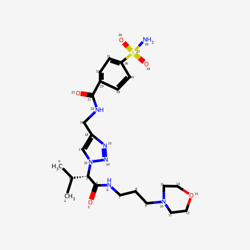 CC(C)[C@@H](C(=O)NCCCN1CCOCC1)n1cc(CNC(=O)c2ccc(S(N)(=O)=O)cc2)nn1